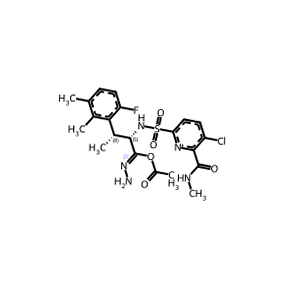 CNC(=O)c1nc(S(=O)(=O)N[C@H](/C(=N/N)OC(C)=O)[C@H](C)c2c(F)ccc(C)c2C)ccc1Cl